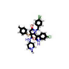 Cc1ccc(SC2(C(=O)NC3CCN(C)CC3)CC(=O)N(Cc3ccc(Br)cc3)C2c2c[nH]c3cc(Cl)ccc23)cc1